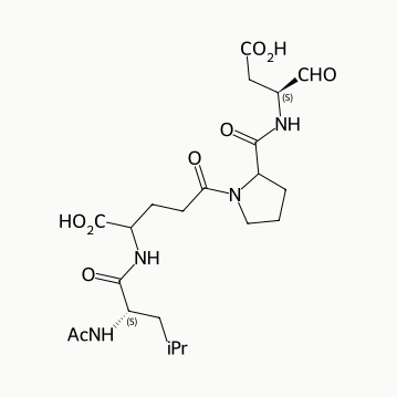 CC(=O)N[C@@H](CC(C)C)C(=O)NC(CCC(=O)N1CCCC1C(=O)N[C@H](C=O)CC(=O)O)C(=O)O